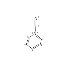 N#C[n+]1ccccc1